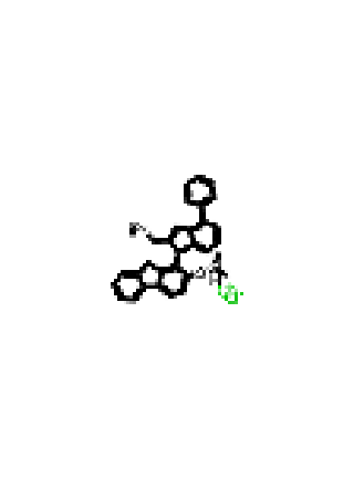 CC(C)CC1=Cc2c(-c3ccccc3)cccc2C1c1[c]([Zr+2][SiH](C)C)ccc2c1Cc1ccccc1-2.[Cl-].[Cl-]